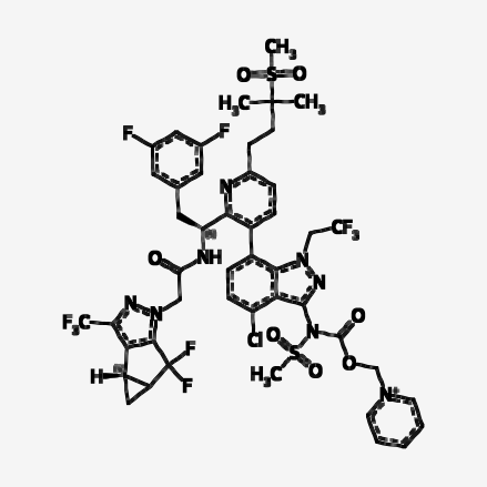 CC(C)(CCc1ccc(-c2ccc(Cl)c3c(N(C(=O)OC[n+]4ccccc4)S(C)(=O)=O)nn(CC(F)(F)F)c23)c([C@H](Cc2cc(F)cc(F)c2)NC(=O)Cn2nc(C(F)(F)F)c3c2C(F)(F)C2C[C@H]32)n1)S(C)(=O)=O